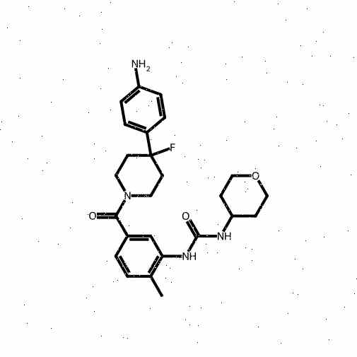 Cc1ccc(C(=O)N2CCC(F)(c3ccc(N)cc3)CC2)cc1NC(=O)NC1CCOCC1